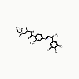 CC(CS(=O)(=O)CC(F)(F)F)NC(=O)c1ccc(/C=C/C(c2cc(Cl)c(Cl)c(Cl)c2)C(F)(F)F)cc1C(F)(F)F